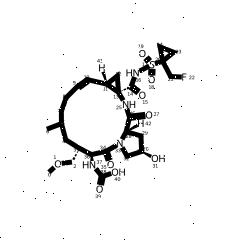 COC[C@@H]1CC(C)CC/C=C\[C@@H]2C[C@@]2(C(=O)NS(=O)(=O)C2(CF)CC2)NC(=O)[C@@H]2C[C@@H](O)CN2C(=O)[C@H]1NC(=O)O